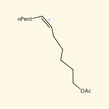 CCCCC/C=C\CCCCCOC(C)=O